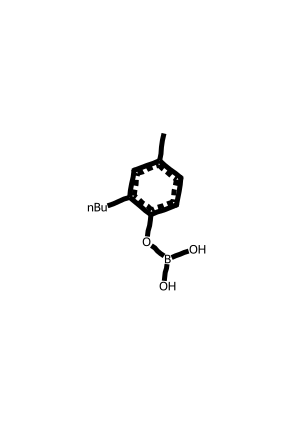 CCCCc1cc(C)ccc1OB(O)O